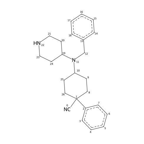 N#CC1(c2ccccc2)CCC(N(Cc2ccccc2)C2CCNCC2)CC1